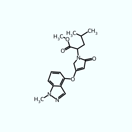 COC(=O)C(CC(C)C)N1CC(Oc2cccc3c2cnn3C)=CC1=O